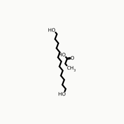 CCC(=O)O.OCCCCCCCCCCCCCO